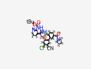 CC(C)(C)OC(=O)Nc1ncccc1C(=N)COc1cc(Cl)c(C#N)cc1-c1cc(C(=O)N2CCCC2)ccc1F